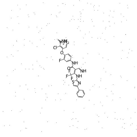 C=C(N)/C(Cl)=C(\C=C/N)Oc1ccc(NC(=O)/C(C=N)=C(/Nc2nc(-c3ccccc3)cs2)C(F)(F)F)cc1F